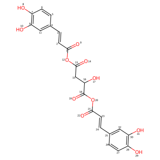 O=C(C=Cc1ccc(O)c(O)c1)OC(=O)CC(O)C(=O)OC(=O)C=Cc1ccc(O)c(O)c1